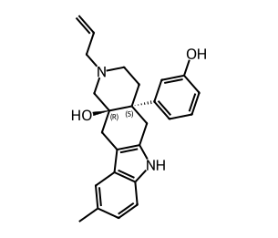 C=CCN1CC[C@@]2(c3cccc(O)c3)Cc3[nH]c4ccc(C)cc4c3C[C@]2(O)C1